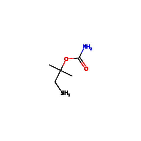 CC(C)(C[SiH3])OC(N)=O